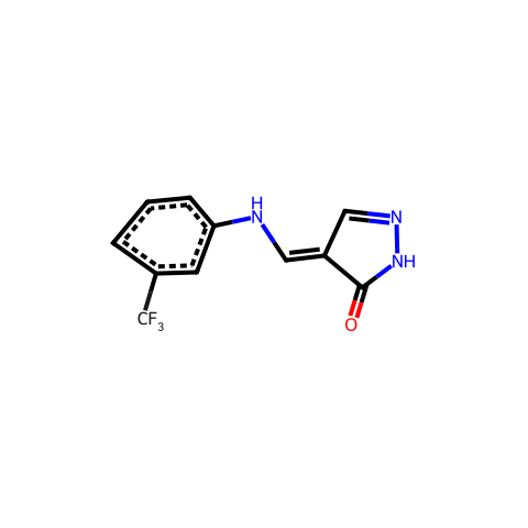 O=C1NN=CC1=CNc1cccc(C(F)(F)F)c1